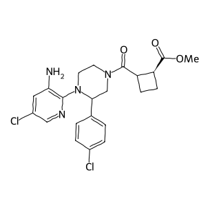 COC(=O)[C@H]1CCC1C(=O)N1CCN(c2ncc(Cl)cc2N)C(c2ccc(Cl)cc2)C1